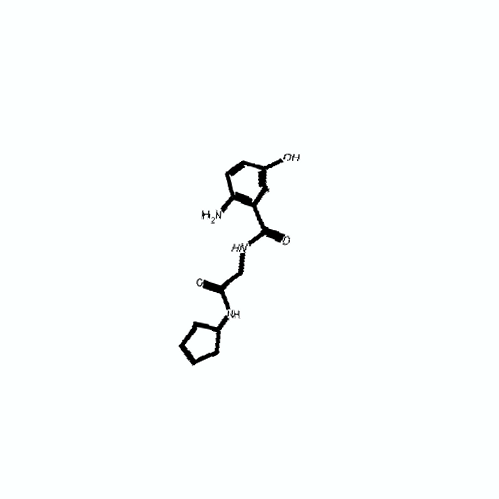 Nc1ccc(O)cc1C(=O)NCC(=O)NC1CCCC1